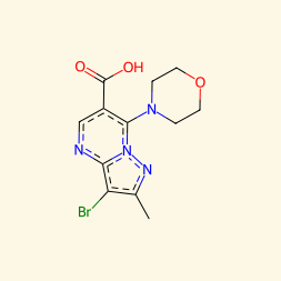 Cc1nn2c(N3CCOCC3)c(C(=O)O)cnc2c1Br